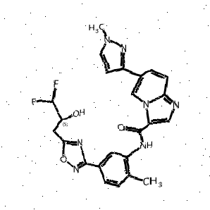 Cc1ccc(-c2noc(C[C@H](O)C(F)F)n2)cc1NC(=O)c1cnc2ccc(-c3ccn(C)n3)cn12